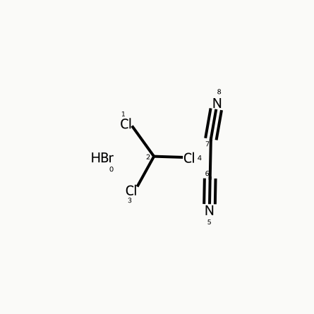 Br.ClC(Cl)Cl.N#CC#N